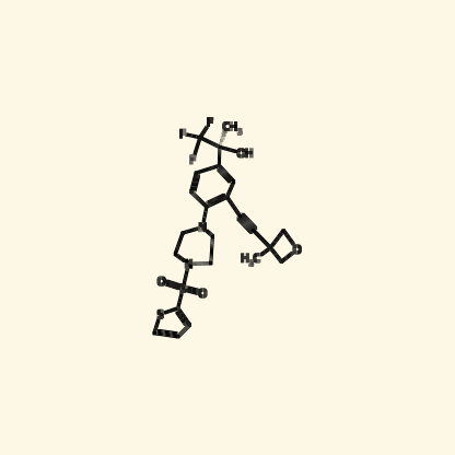 CC1(C#Cc2cc([C@](C)(O)C(F)(F)F)ccc2N2CCN(S(=O)(=O)c3cccs3)CC2)COC1